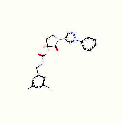 O=C(NCc1cc(F)cc(Cl)c1)OC1(O)CCN(c2cnn(-c3ccccc3)c2)C1=O